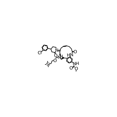 COC(=O)Nc1ccc2c(c1)NC(=O)CCC=CC[C@H](N1CCC(c3cccc(Cl)c3)CC1=O)c1nc-2cn1COCC[Si](C)(C)C